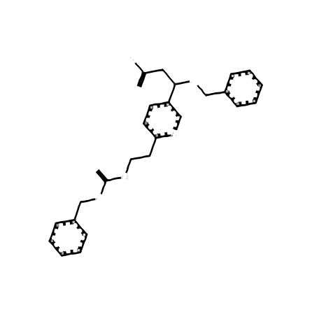 [NH]C(=O)CC(OCc1ccccc1)c1ccc(CCNC(=O)OCc2ccccc2)nc1